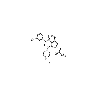 CN1CCC(Oc2cc(OC(=O)C(F)(F)F)cc3ncnc(N(F)c4cccc(Cl)c4)c23)CC1